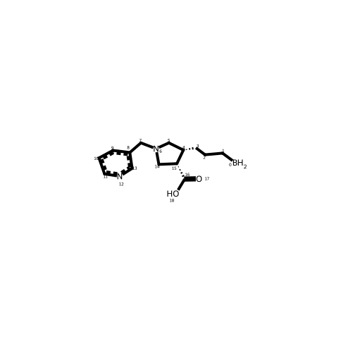 BCCC[C@H]1CN(Cc2cccnc2)C[C@H]1C(=O)O